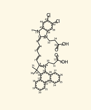 CN1/C(=C/C=C/C=C/C2=[N+](CCC(=O)O)c3c(c4ccccc4c4ccccc34)C2(C)C)N(CCC(=O)O)c2cc(Cl)c(Cl)cc21